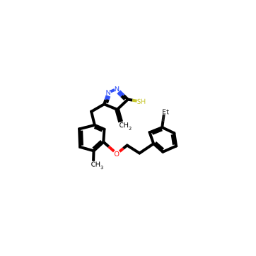 C=C1C(S)=NN=C1Cc1ccc(C)c(OCCc2cccc(CC)c2)c1